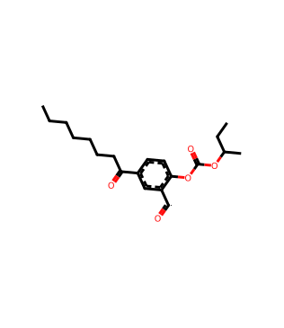 CCCCCCCC(=O)c1ccc(OC(=O)OC(C)CC)c([C]=O)c1